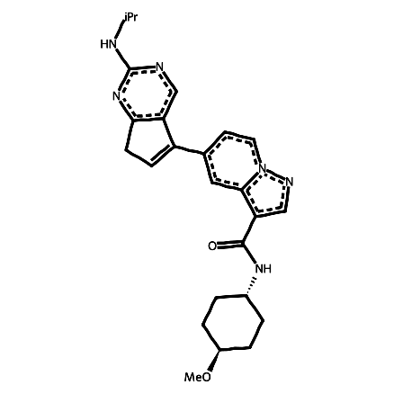 CO[C@H]1CC[C@H](NC(=O)c2cnn3ccc(C4=CCc5nc(NC(C)C)ncc54)cc23)CC1